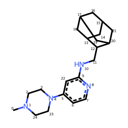 CN1CCN(c2ccnc(NCC3C4CC5CC(C4)CC3C5)c2)CC1